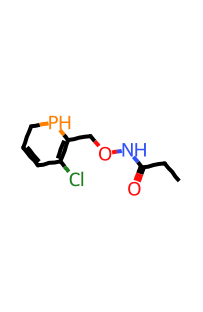 CCC(=O)NOCC1=C(Cl)C=CCP1